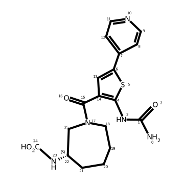 NC(=O)Nc1sc(-c2ccncc2)cc1C(=O)N1CCCC[C@H](NC(=O)O)C1